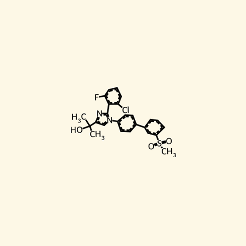 CC(C)(O)c1cn(-c2ccc(-c3cccc(S(C)(=O)=O)c3)cc2)c(-c2c(F)cccc2Cl)n1